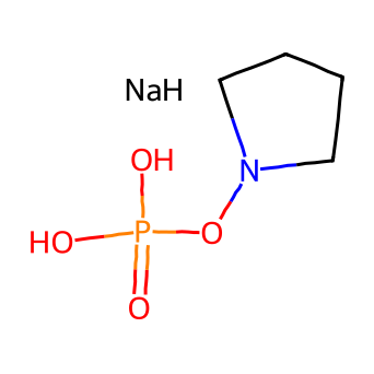 O=P(O)(O)ON1CCCC1.[NaH]